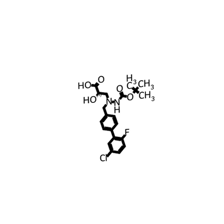 CC(C)(C)OC(=O)NN(Cc1ccc(-c2cc(Cl)ccc2F)cc1)C[C@@H](O)C(=O)O